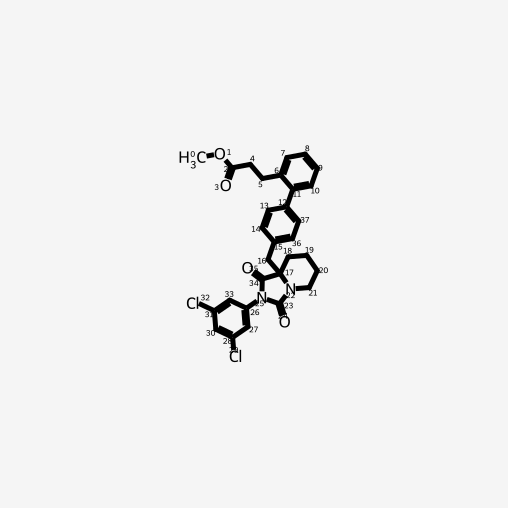 COC(=O)CCc1ccccc1-c1ccc(CC23CCCCN2C(=O)N(c2cc(Cl)cc(Cl)c2)C3=O)cc1